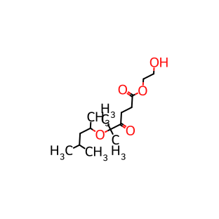 CC(C)CC(C)OC(C)(C)C(=O)CCC(=O)OCCO